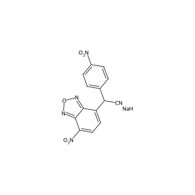 N#CC(c1ccc([N+](=O)[O-])cc1)c1ccc([N+](=O)[O-])c2nonc12.[NaH]